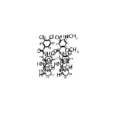 CNc1cc(OC)c(C(=O)NCC(=O)N[C@H]2C[C@H]3CC[C@@H](C2)N3Cc2ccc(Cl)cc2)cc1Cl.O=C(CNC(=O)c1ccc(Cl)c(Cl)c1)N[C@H]1C[C@H]2CC[C@@H](C1)N2Cc1ccc(Cl)cc1